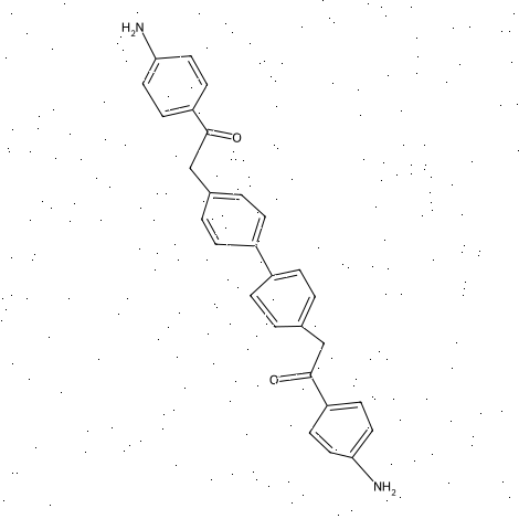 Nc1ccc(C(=O)Cc2ccc(-c3ccc(CC(=O)c4ccc(N)cc4)cc3)cc2)cc1